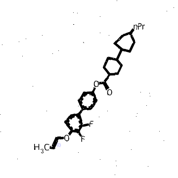 C/C=C/Oc1ccc(-c2ccc(OC(=O)C3CCC(C4CCC(CCC)CC4)CC3)cc2)c(F)c1F